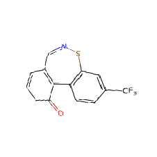 O=C1CC=CC2=C1c1ccc(C(F)(F)F)cc1SN=C2